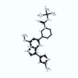 COc1cc(C2CCCN(C(=O)OC(C)(C)C)C2)nc2c(-c3csc(C)c3)cnn12